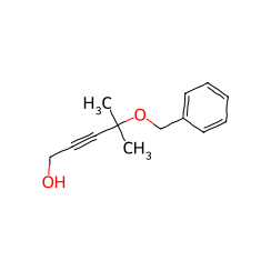 CC(C)(C#CCO)OCc1ccccc1